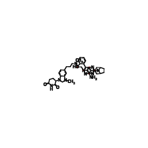 CN(CCCc1cnc(N2C3CCC2CN(c2cc(-c4ccccc4O)nnc2N)C3)nc1)CCCc1ccc2c(c1)N(C)CN2C1CCC(=O)NC1=O